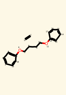 C=C.c1ccc(OCCCCOc2ccccc2)cc1